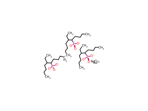 CCCCC(CC)C(CCCC)P(=O)([O-])[O-].CCCCC(CC)C(CCCC)P(=O)([O-])[O-].CCCCC(CC)C(CCCC)P(=O)([O-])[O-].[Nd+3].[Nd+3]